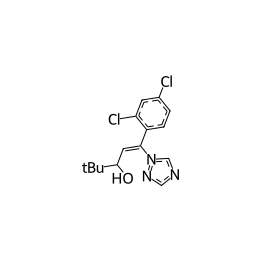 CC(C)(C)C(O)C=C(c1ccc(Cl)cc1Cl)n1cncn1